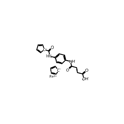 O=C(O)CCC(=O)Nc1ccc(NC(=O)[c-]2cccc2)cc1.[Fe+2].c1cc[cH-]c1